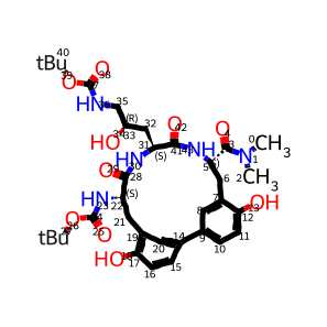 CN(C)C(=O)[C@@H]1Cc2cc(ccc2O)-c2ccc(O)c(c2)C[C@H](NC(=O)OC(C)(C)C)C(=O)N[C@@H](C[C@@H](O)CNC(=O)OC(C)(C)C)C(=O)N1